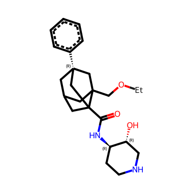 CCOCC12CC3CC1(C(=O)N[C@@H]1CCNC[C@H]1O)C[C@@](c1ccccc1)(C3)C2